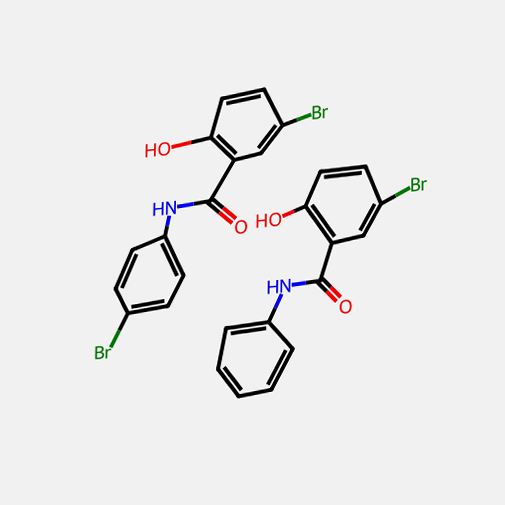 O=C(Nc1ccc(Br)cc1)c1cc(Br)ccc1O.O=C(Nc1ccccc1)c1cc(Br)ccc1O